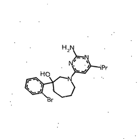 CC(C)c1cc(N2CCCCC(O)(c3ccccc3Br)C2)nc(N)n1